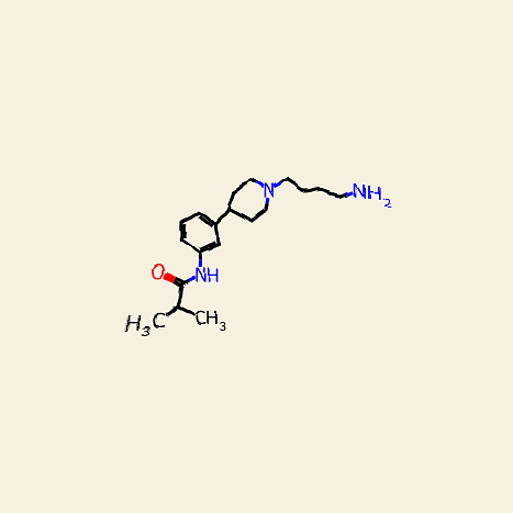 CC(C)C(=O)Nc1cccc(C2CCN(CCCCN)CC2)c1